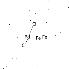 [Cl][Pd][Cl].[Fe].[Fe]